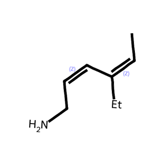 C/C=C(\C=C/CN)CC